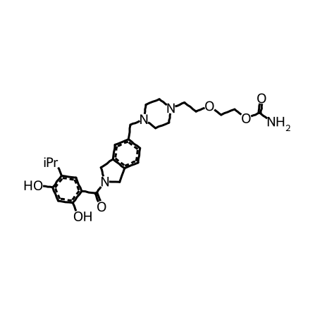 CC(C)c1cc(C(=O)N2Cc3ccc(CN4CCN(CCOCCOC(N)=O)CC4)cc3C2)c(O)cc1O